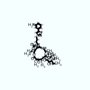 CCO[C@@H](O[C@@H]1[C@@H](C)C(=O)[C@@H](C)C(=O)O[C@H](CC)[C@@]2(C)OC(=O)N(CCCCn3cc(-c4cccc(N)c4)nn3)[C@@H]2[C@@H](C)NC[C@H](C)C[C@@]1(C)OC)C(O)C(CC)NC